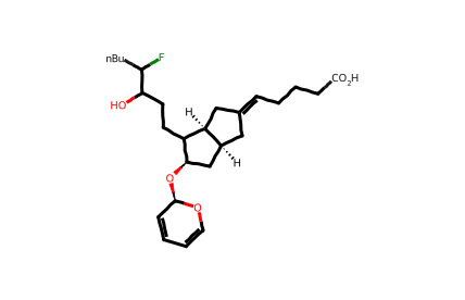 CCCCC(F)C(O)CCC1[C@H]2C/C(=C/CCCC(=O)O)C[C@H]2C[C@H]1O[C@@H]1C=CC=CO1